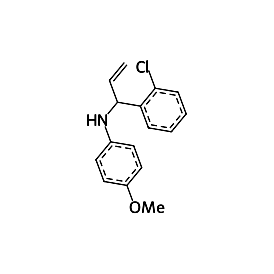 C=CC(Nc1ccc(OC)cc1)c1ccccc1Cl